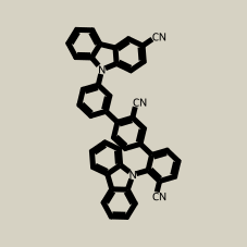 N#Cc1ccc2c(c1)c1ccccc1n2-c1cccc(-c2ccc(-c3cccc(C#N)c3-n3c4ccccc4c4ccccc43)cc2C#N)c1